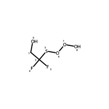 OCC(F)(F)SOOO